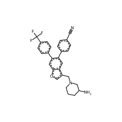 N#Cc1ccc(-c2cc3c(CN4CCCC(N)C4)coc3cc2-c2ccc(C(F)(F)F)cc2)cc1